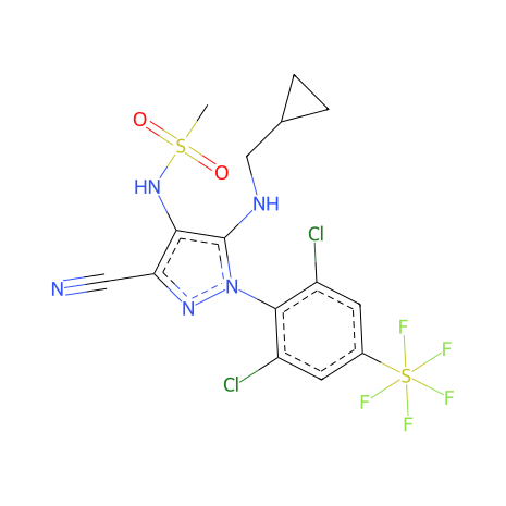 CS(=O)(=O)Nc1c(C#N)nn(-c2c(Cl)cc(S(F)(F)(F)(F)F)cc2Cl)c1NCC1CC1